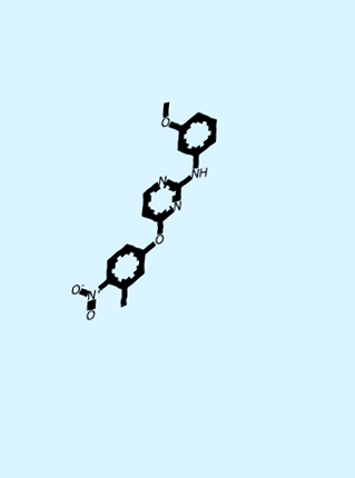 COc1cccc(Nc2nccc(Oc3ccc([N+](=O)[O-])c(C)c3)n2)c1